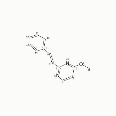 COc1ccnc(N=Cc2ccccc2)n1